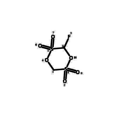 O=S1(=O)COS(=O)(=O)C(F)O1